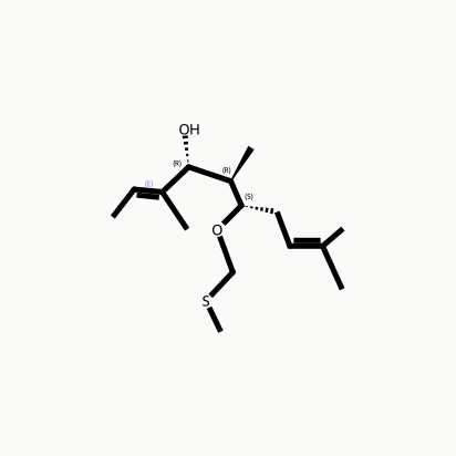 C/C=C(\C)[C@H](O)[C@@H](C)[C@H](CC=C(C)C)OCSC